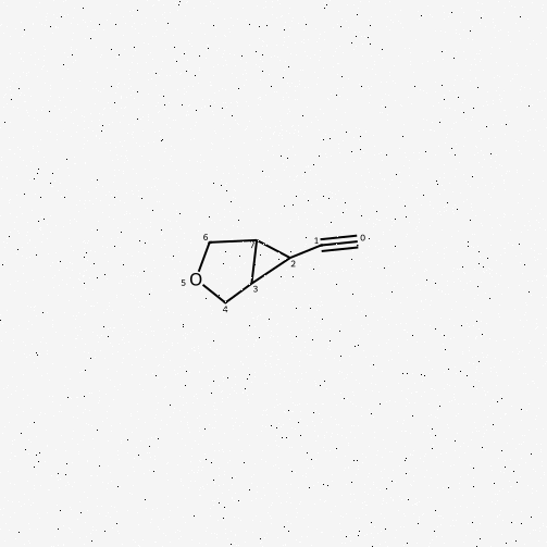 [C]#CC1C2COCC12